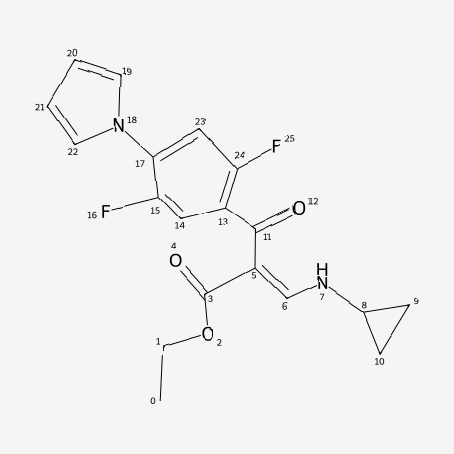 CCOC(=O)/C(=C/NC1CC1)C(=O)c1cc(F)c(-n2cccc2)cc1F